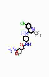 CC(C)C[C@H](CC(N)=O)CC(=O)N[C@H]1CC[C@@H](Nc2cc(C(F)(F)F)nc3ccc(Cl)cc23)CC1